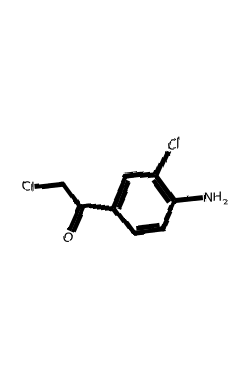 Nc1ccc(C(=O)CCl)cc1Cl